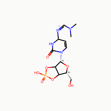 CN(C)/C=N\C1C=CN([C@@H]2O[C@H](CO)C3OP(=O)(O)OC32)C(=O)N1